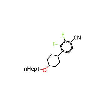 CCCCCCCOC1CCC(c2ccc(C#N)c(F)c2F)CC1